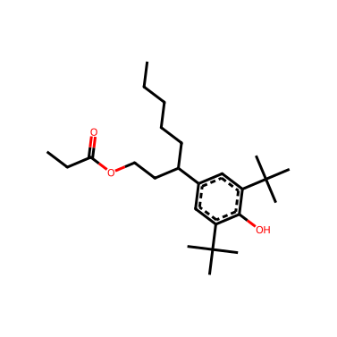 CCCCCC(CCOC(=O)CC)c1cc(C(C)(C)C)c(O)c(C(C)(C)C)c1